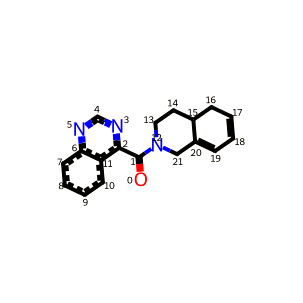 O=C(c1ncnc2ccccc12)N1CCC2CC=CC=C2C1